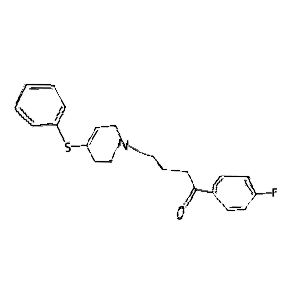 O=C(CCCN1CC=C(Sc2ccccc2)CC1)c1ccc(F)cc1